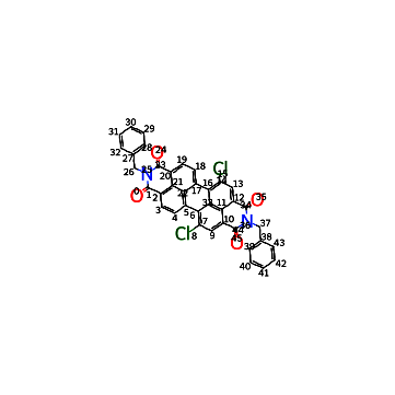 O=C1c2ccc3c4c(Cl)cc5c6c(cc(Cl)c(c7ccc(c2c37)C(=O)N1Cc1ccccc1)c64)C(=O)N(Cc1ccccc1)C5=O